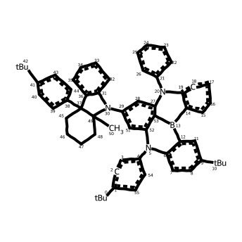 CC(C)(C)c1ccc(N2c3ccc(C(C)(C)C)cc3B3c4ccccc4N(c4ccccc4)c4cc(N5c6ccccc6C6(c7ccc(C(C)(C)C)cc7)CCCCC56C)cc2c43)cc1